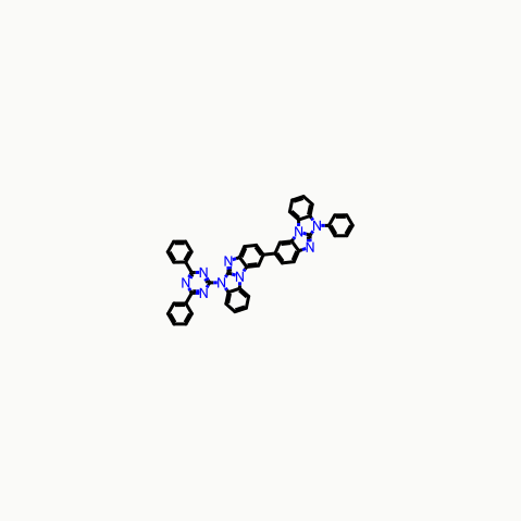 c1ccc(-c2nc(-c3ccccc3)nc(-n3c4ccccc4n4c5cc(-c6ccc7nc8n(-c9ccccc9)c9ccccc9n8c7c6)ccc5nc34)n2)cc1